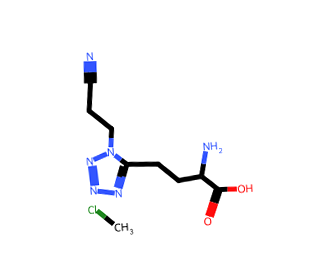 CCl.N#CCCn1nnnc1CCC(N)C(=O)O